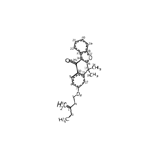 C=C(CC)CCOc1ccc2c(c1)C(C)(C)c1oc3ccccc3c1C2=O